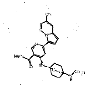 CNC(=O)c1cnc(-c2ccc3cc(C#N)cnn23)cc1NC12CCC(NC(=O)O)(CC1)CC2